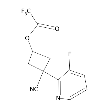 N#CC1(c2ncccc2F)CC(OC(=O)C(F)(F)F)C1